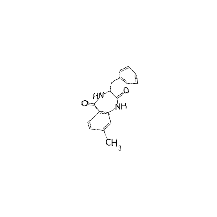 Cc1ccc2c(c1)NC(=O)C(Cc1ccccc1)NC2=O